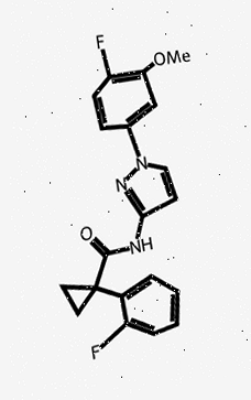 COc1cc(-n2ccc(NC(=O)C3(c4ccccc4F)CC3)n2)ccc1F